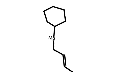 C/C=C/[CH2][Mg][CH]1CCCCC1